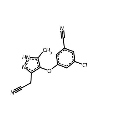 Cc1[nH]nc(CC#N)c1Oc1cc(Cl)cc(C#N)c1